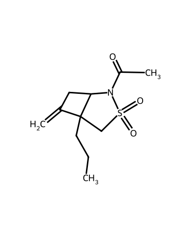 C=C1CC2N(C(C)=O)S(=O)(=O)CC12CCC